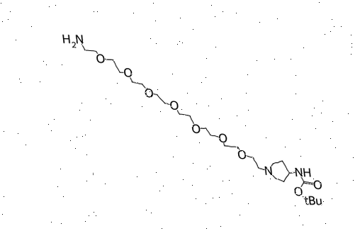 CC(C)(C)OC(=O)NC1CCN(CCOCCOCCOCCOCCOCCOCCOCCN)CC1